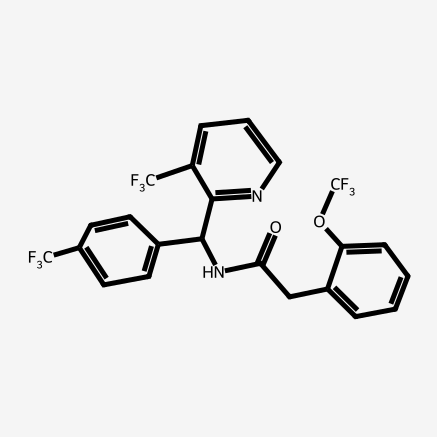 O=C(Cc1ccccc1OC(F)(F)F)NC(c1ccc(C(F)(F)F)cc1)c1ncccc1C(F)(F)F